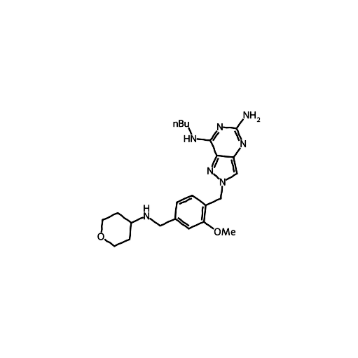 CCCCNc1nc(N)nc2cn(Cc3ccc(CNC4CCOCC4)cc3OC)nc12